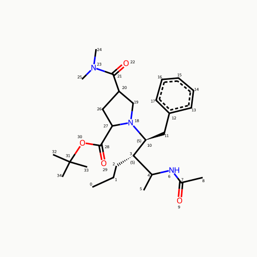 CCC[C@@H](C(C)NC(C)=O)[C@H](Cc1ccccc1)N1CC(C(=O)N(C)C)CC1C(=O)OC(C)(C)C